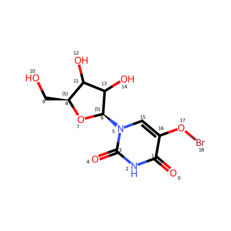 O=c1[nH]c(=O)n([C@H]2O[C@@H](CO)C(O)C2O)cc1OBr